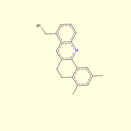 Cc1cc(C)c2c(c1)-c1nc3cccc(CC(C)C)c3cc1CC2